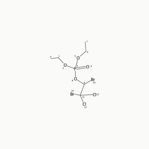 CCOP(=O)(OCC)OC(Br)C(Cl)(Cl)Br